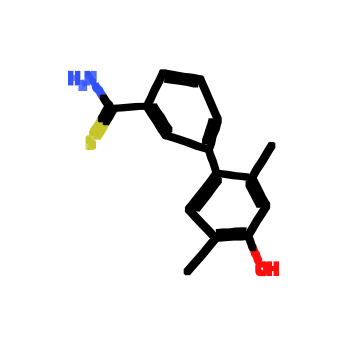 Cc1cc(-c2cccc(C(N)=S)c2)c(C)cc1O